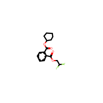 O=C(OCC(F)F)c1ccccc1C(=O)OC1CCCCC1